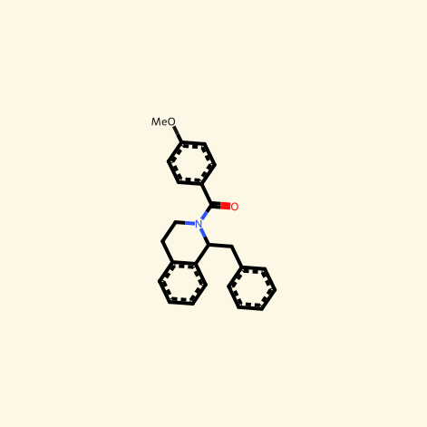 COc1ccc(C(=O)N2CCc3ccccc3C2Cc2ccccc2)cc1